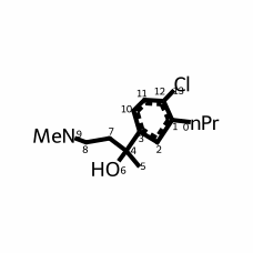 CCCc1cc(C(C)(O)CCNC)ccc1Cl